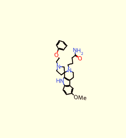 COc1ccc2[nH]c3c(c2c1)CCN(CCCC(N)=O)C31CCN(CCOc2ccccc2)C1